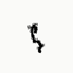 Cc1ncsc1-c1ccc([C@H](C)NC(=O)[C@@H]2C[C@@H](O)CN2C(=O)[C@@H](NC(=O)CCC(=O)NCCCN2CCN(CC(=O)NCc3cccc(CNc4cc(N5CCC6(CC5)CN(c5cc(F)c(CN7CCC(C)(C)CC7)cc5F)CC(=O)N6)ncn4)c3)CC2)C(C)(C)C)cc1